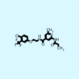 CCC(=O)Nc1cc(C(=O)NCCOc2ccc(Cl)c(C(F)(F)F)c2)cc(C)n1